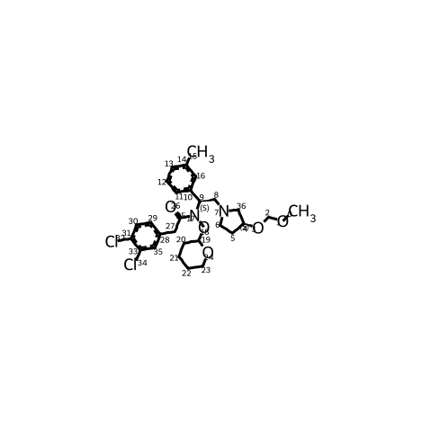 COCO[C@H]1CCN(C[C@H](c2cccc(C)c2)N(OC2CCCCO2)C(=O)Cc2ccc(Cl)c(Cl)c2)C1